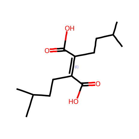 CC(C)CC/C(C(=O)O)=C(/CCC(C)C)C(=O)O